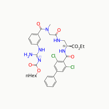 CCCCCCOC(=O)/N=C(\N)Nc1cccc(C(=O)N(C)CC(=O)NC[C@H](NC(=O)c2c(Cl)cc(-c3ccccc3)cc2Cl)C(=O)OCC)c1